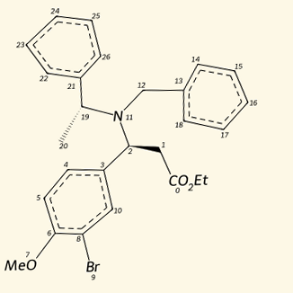 CCOC(=O)C[C@@H](c1ccc(OC)c(Br)c1)N(Cc1ccccc1)[C@H](C)c1ccccc1